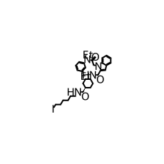 CCc1cccc(N(CC)C(=O)Cn2c(C(=O)N[C@H]3CC[C@H](C(=O)NCCCCCCI)CC3)cc3ccccc32)c1